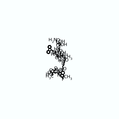 CC[C@@]1(O)C(=O)OCc2c1cc1n(c2=O)Cc2c-1nc1cc(F)c(C)c3c1c2[C@@H](NC(=O)CCOCNC(=O)[C@H](C)NC(=O)[C@@H](NC(=O)[C@H](CCC(=O)NC[C@H]1O[C@@H](CC(N)=O)[C@H](O)[C@@H]1O)NC(=O)OCC1c2ccccc2-c2ccccc21)C(C)C)CC3